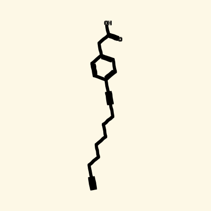 C#CCCCCCCC#Cc1ccc(CC(=O)O)cc1